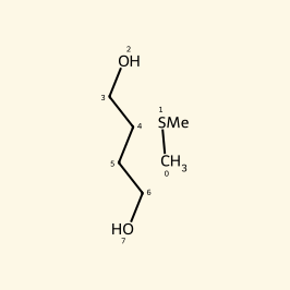 CSC.OCCCCO